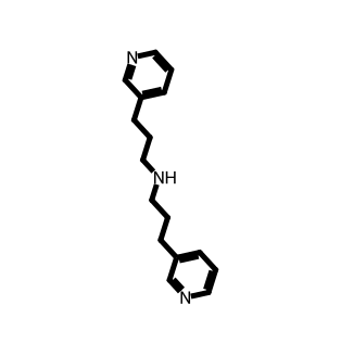 c1cncc(CCCNCCCc2cccnc2)c1